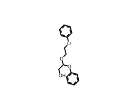 OCC(OCCOc1ccccc1)Oc1ccccc1